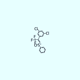 [O-][S+](C=C(c1cc(Cl)cc(Cl)c1)C(F)(F)F)c1ccccc1